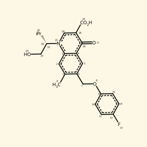 Cc1cc2c(cc1COc1ccc(F)cc1)c(=O)c(C(=O)O)cn2[C@H](CO)C(C)C